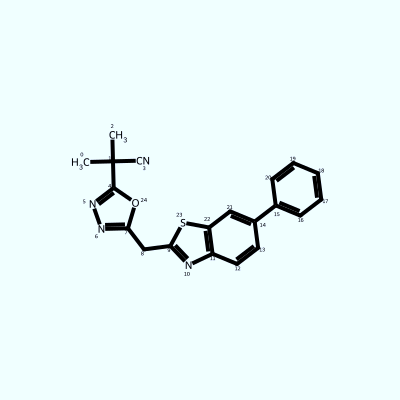 CC(C)(C#N)c1nnc(Cc2nc3ccc(-c4ccccc4)cc3s2)o1